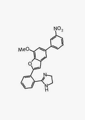 COc1cc(-c2cccc([N+](=O)[O-])c2)cc2cc(-c3ccccc3C3=NCCN3)oc12